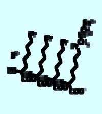 CC(C)CCCCCC(S)C(=O)[O-].CC(C)CCCCCC(S)C(=O)[O-].CC(C)CCCCCC(S)C(=O)[O-].CC(C)CCCCCC(S)C(=O)[O-].[CH3][Sn+3].[CH3][Sn+3].[S-2]